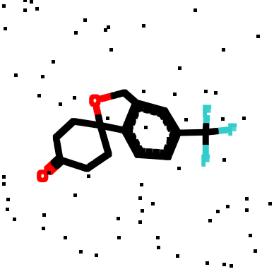 O=C1CCC2(CC1)OCc1cc(C(F)(F)F)ccc12